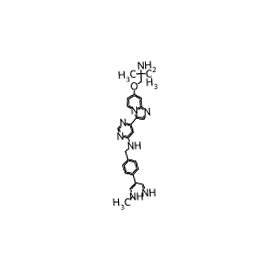 CN/C=C(\C=N)c1ccc(CNc2cc(-c3cnc4cc(OCC(C)(C)N)ccn34)ncn2)cc1